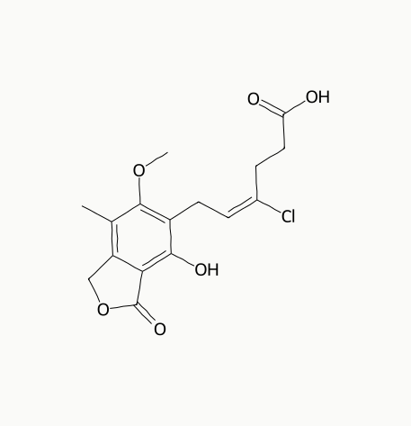 COc1c(C)c2c(c(O)c1C/C=C(/Cl)CCC(=O)O)C(=O)OC2